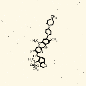 COc1cc(N2CCC(N3CCN(C)CC3)CC2)c(C)cc1Nc1ncc(Br)c(Nc2ccc3c(c2N(C)S(C)(=O)=O)CCO3)n1